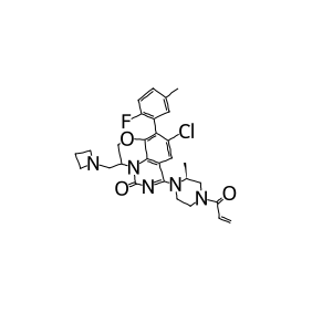 C=CC(=O)N1CCN(c2nc(=O)n3c4c(c(-c5cc(C)ccc5F)c(Cl)cc24)OCC3CN2CCC2)[C@@H](C)C1